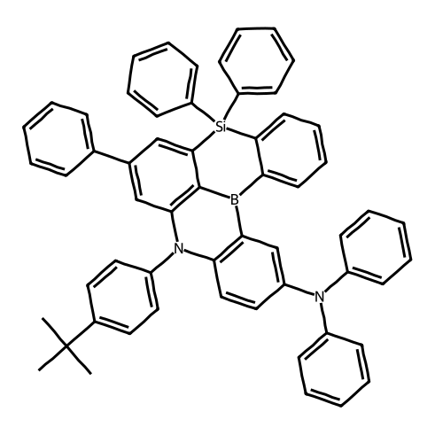 CC(C)(C)c1ccc(N2c3ccc(N(c4ccccc4)c4ccccc4)cc3B3c4ccccc4[Si](c4ccccc4)(c4ccccc4)c4cc(-c5ccccc5)cc2c43)cc1